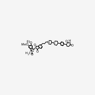 CCOc1cc([C@@H](CS(C)(=O)=O)N2C(=O)c3ccc(CCCN4CCC(N5CCC(c6ccc(C7CCC(=O)NC7=O)cc6)CC5)CC4)cc3C2=O)ccc1OC